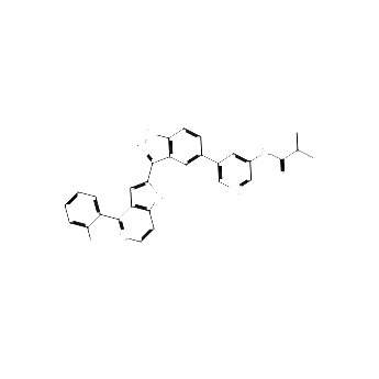 CC(C)C(=O)Nc1cncc(-c2ccc3[nH]nc(-c4cc5c(-c6ccccc6F)nccc5[nH]4)c3c2)c1